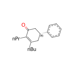 CCCCC1=C(CCC)C(=O)C[C@H](c2ccccc2)C1